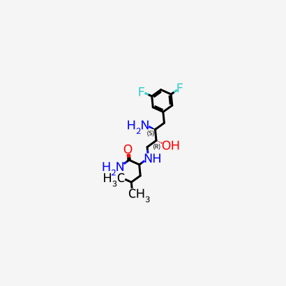 CC(C)CC(NC[C@@H](O)[C@@H](N)Cc1cc(F)cc(F)c1)C(N)=O